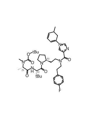 CC1C=CC=C(n2cnc(C(=O)N(CCc3ccc(F)cc3)CC[C@@H]3CCCN3C(=O)[C@@H](NC(=O)[C@H](C)N(C)C(=O)OC(C)(C)C)C(C)(C)C)c2)C1